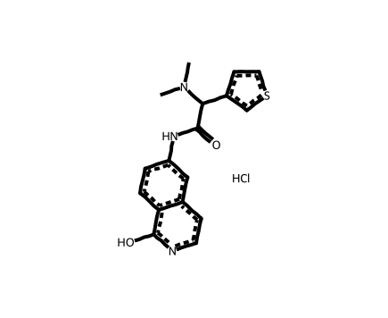 CN(C)C(C(=O)Nc1ccc2c(O)nccc2c1)c1ccsc1.Cl